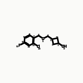 OC1CC(COCc2ccc(F)cc2Cl)C1